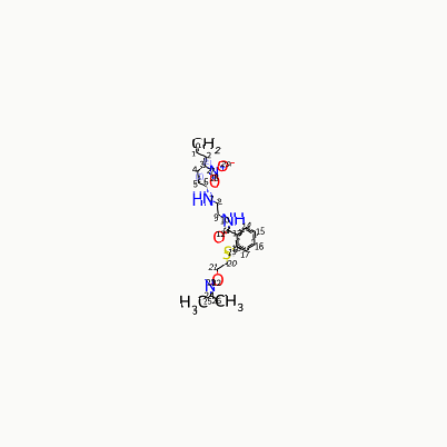 C=C/C=C(\C=C/CNCCNC(=O)c1ccccc1SCCON=C(C)C)[N+](=O)[O-]